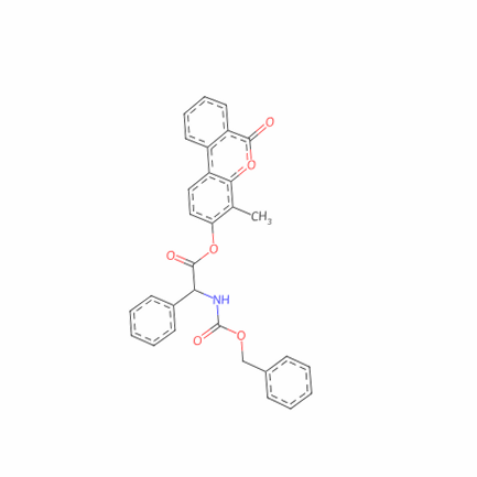 Cc1c(OC(=O)C(NC(=O)OCc2ccccc2)c2ccccc2)ccc2c1oc(=O)c1ccccc12